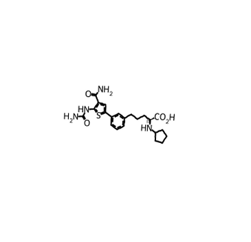 NC(=O)Nc1sc(-c2cccc(CCC[C@H](NC3CCCC3)C(=O)O)c2)cc1C(N)=O